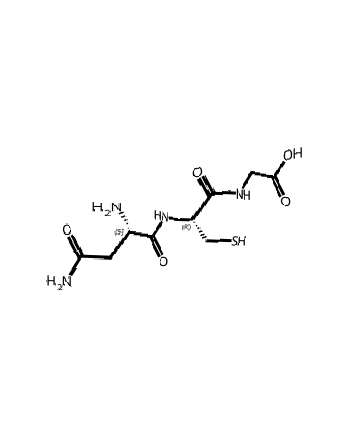 NC(=O)C[C@H](N)C(=O)N[C@@H](CS)C(=O)NCC(=O)O